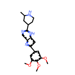 COc1cc(-c2cc3[nH]c(C4CCNC(C)C4)ncc-3n2)cc(OC)c1OC